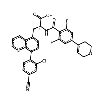 N#Cc1ccc(-c2ccc(C[C@H](NC(=O)c3c(F)cc(C4=CCOCC4)cc3F)C(=O)O)c3cccnc23)c(Cl)c1